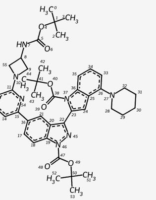 CC(C)(C)OC(=O)NC1CN(c2cncc(-c3ccc4c(c3)c(-c3cc5c(N6CCCCC6)cccc5n3C(=O)OC(C)(C)C)nn4C(=O)OC(C)(C)C)n2)C1